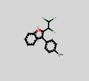 COc1ccc(-c2c(C(F)C(F)F)oc3ccccc23)cc1